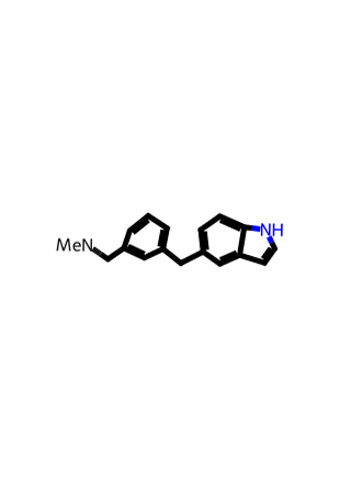 CNCc1cccc(Cc2ccc3[nH]ccc3c2)c1